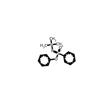 C[Si](C)(C)N=S(=O)(Oc1ccccc1)c1ccccc1